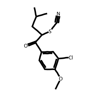 COc1ccc(C(=O)C(CC(C)C)SC#N)cc1Cl